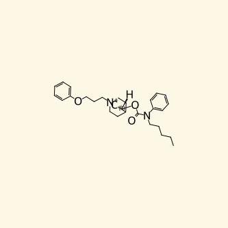 CCCCCN(C(=O)O[C@H]1C[N+]2(CCCOc3ccccc3)CCC1CC2)c1ccccc1